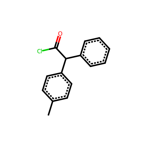 Cc1ccc(C(C(=O)Cl)c2ccccc2)cc1